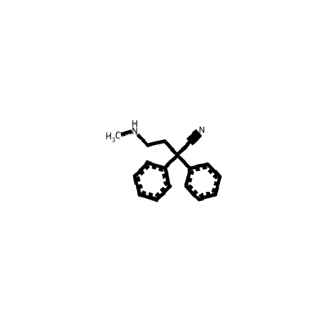 CNCCC(C#N)(c1ccccc1)c1ccccc1